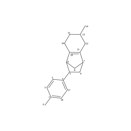 Cc1ccc(C2CC3CC2C2=C3CC(C)CC2)cc1